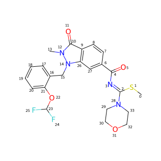 CSC(=NC(=O)c1ccc2c(=O)n(C)n(Cc3ccccc3OC(F)F)c2c1)N1CCOCC1